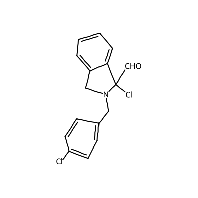 O=CC1(Cl)c2ccccc2CN1Cc1ccc(Cl)cc1